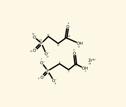 O=C(O)CCP(=O)([O-])[O-].O=C(O)CCP(=O)([O-])[O-].[Zr+4]